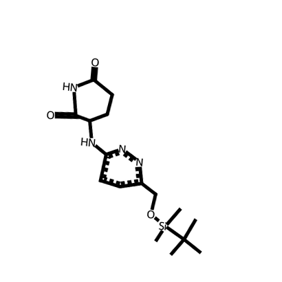 CC(C)(C)[Si](C)(C)OCc1ccc(NC2CCC(=O)NC2=O)nn1